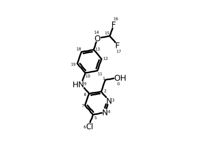 OCc1nnc(Cl)cc1Nc1ccc(OC(F)F)cc1